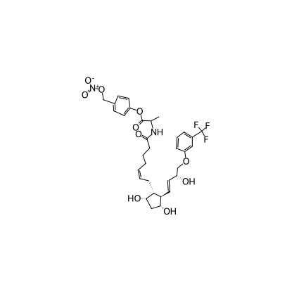 CC(NC(=O)CCC/C=C\C[C@@H]1[C@@H](/C=C/[C@@H](O)COc2cccc(C(F)(F)F)c2)[C@H](O)C[C@@H]1O)C(=O)Oc1ccc(CO[N+](=O)[O-])cc1